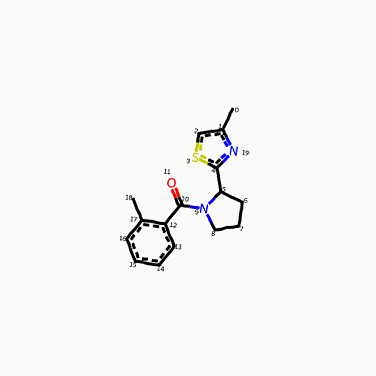 Cc1csc(C2CCCN2C(=O)c2ccccc2C)n1